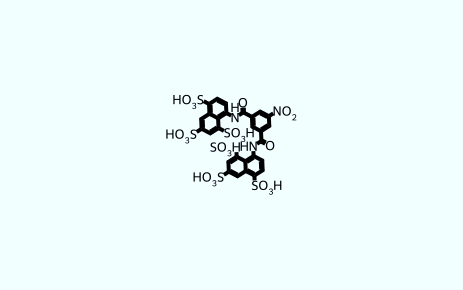 O=C(Nc1ccc(S(=O)(=O)O)c2cc(S(=O)(=O)O)cc(S(=O)(=O)O)c12)c1cc(C(=O)Nc2ccc(S(=O)(=O)O)c3cc(S(=O)(=O)O)cc(S(=O)(=O)O)c23)cc([N+](=O)[O-])c1